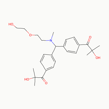 CN(CCOCCO)C(c1ccc(C(=O)C(C)(C)O)cc1)c1ccc(C(=O)C(C)(C)O)cc1